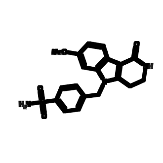 COc1ccc2c3c(n(Cc4ccc(S(N)(=O)=O)cc4)c2c1)CCNC3=O